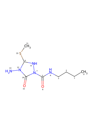 CCCCNC(=O)N1NC(SC)N(N)C1=O